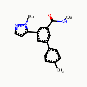 Cc1ccc(-c2cc(C(=O)NC(C)(C)C)cc(-c3ccnn3C(C)(C)C)c2)cc1